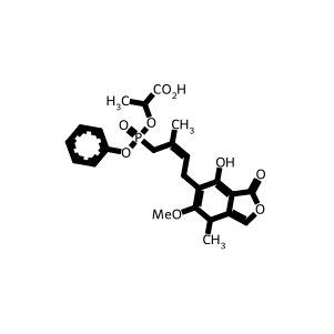 COC1=C(CC=C(C)CP(=O)(Oc2ccccc2)OC(C)C(=O)O)C(O)=C2C(=O)OC=C2C1C